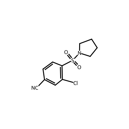 N#Cc1ccc(S(=O)(=O)N2CCCC2)c(Cl)c1